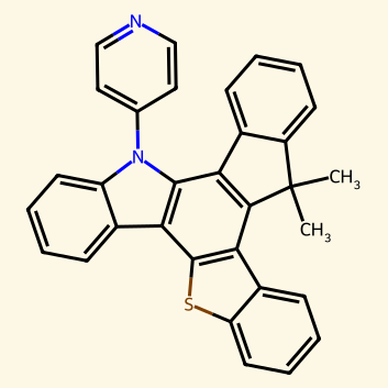 CC1(C)c2ccccc2-c2c1c1c3ccccc3sc1c1c3ccccc3n(-c3ccncc3)c21